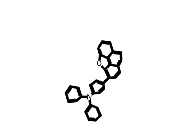 c1ccc(N(c2ccccc2)c2ccc(-c3ccc4ccc5cccc6oc3c4c56)cc2)cc1